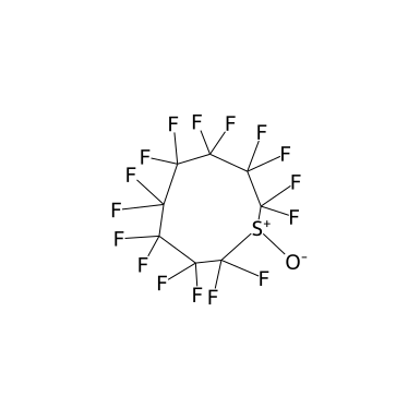 [O-][S+]1C(F)(F)C(F)(F)C(F)(F)C(F)(F)C(F)(F)C(F)(F)C(F)(F)C1(F)F